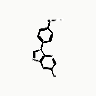 O=CNc1ccc(-n2cnc3cc(Br)cnc32)cc1